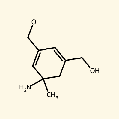 CC1(N)C=C(CO)C=C(CO)C1